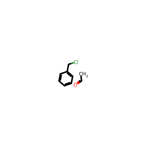 CC=O.ClCc1ccccc1